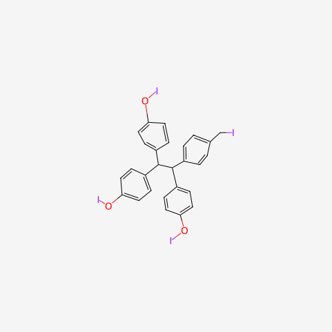 ICc1ccc(C(c2ccc(OI)cc2)C(c2ccc(OI)cc2)c2ccc(OI)cc2)cc1